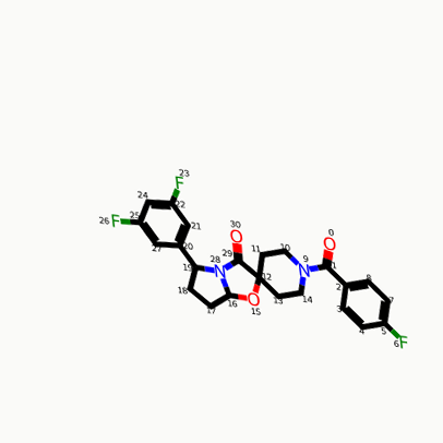 O=C(c1ccc(F)cc1)N1CCC2(CC1)OC1CCC(c3cc(F)cc(F)c3)N1C2=O